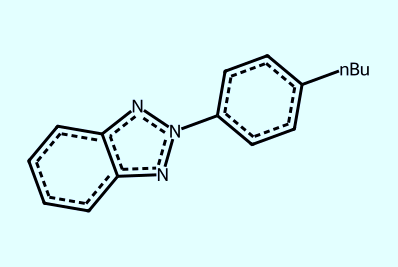 CCCCc1ccc(-n2nc3ccccc3n2)cc1